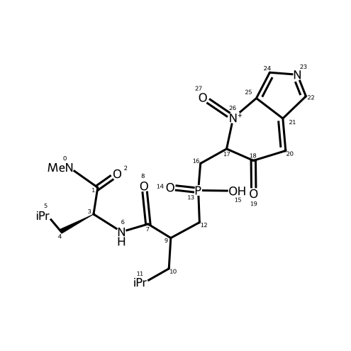 CNC(=O)[C@H](CC(C)C)NC(=O)C(CC(C)C)CP(=O)(O)CC1C(=O)C=C2C=NC=C2[N+]1=O